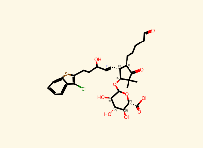 CC1(C)C(=O)[C@H](CCCCC=O)[C@@H](/C=C/C(O)CCc2sc3ccccc3c2Cl)[C@@H]1OC1O[C@H](C(=O)O)[C@@H](O)[C@H](O)[C@H]1O